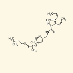 C/C=C\c1[nH]nc(C(=O)NCc2cn(SC(C)(C)SSCCN(C)C)nn2)c1/C=C\C